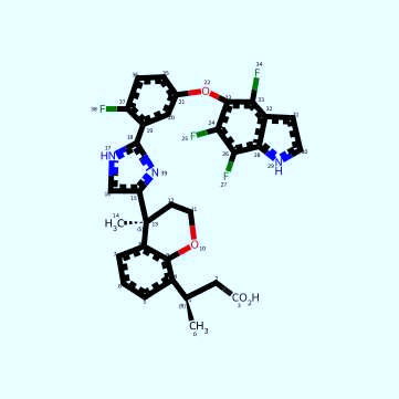 C[C@H](CC(=O)O)c1cccc2c1OCC[C@]2(C)c1c[nH]c(-c2cc(Oc3c(F)c(F)c4[nH]ccc4c3F)ccc2F)n1